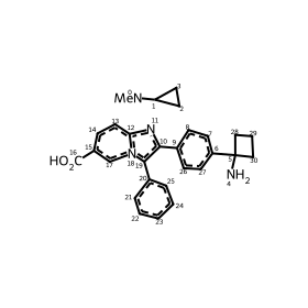 CNC1CC1.NC1(c2ccc(-c3nc4ccc(C(=O)O)cn4c3-c3ccccc3)cc2)CCC1